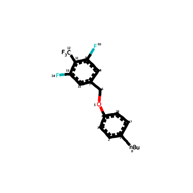 CCCCc1ccc(OCc2cc(F)c(C(F)(F)F)c(F)c2)cc1